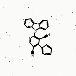 N#Cc1cnc(-n2c3ccccc3c3ccccc32)c(C#N)c1-c1ccccc1